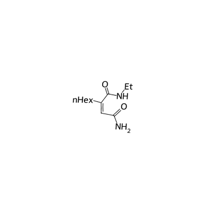 CCCCCCC(=CC(N)=O)C(=O)NCC